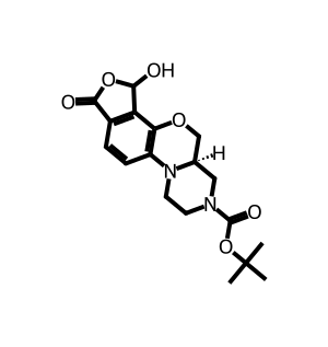 CC(C)(C)OC(=O)N1CCN2c3ccc4c(c3OC[C@H]2C1)C(O)OC4=O